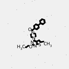 CCCOc1nc(N2CCN(C(=O)c3ccc(-c4ccccc4)cc3)CC2)c2cc(CC)sc2n1